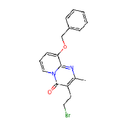 Cc1nc2c(OCc3ccccc3)cccn2c(=O)c1CCBr